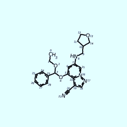 CCOC(Oc1cc(NCC2CCOC2)cn2ncc(C#N)c12)c1ccccc1